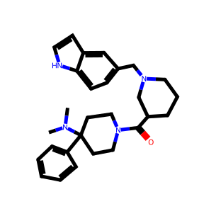 CN(C)C1(c2ccccc2)CCN(C(=O)C2CCCN(Cc3ccc4[nH]ccc4c3)C2)CC1